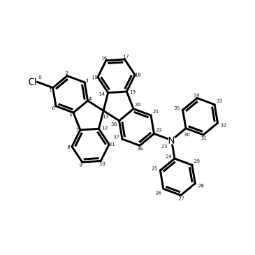 Clc1ccc2c(c1)-c1ccccc1C21c2ccccc2-c2cc(N(c3ccccc3)c3ccccc3)ccc21